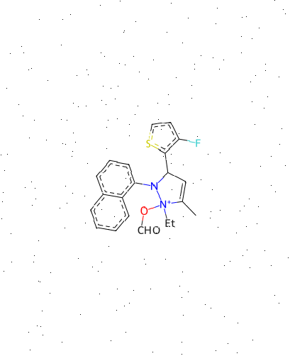 CC[N+]1(OC=O)C(C)=CC(c2sccc2F)N1c1cccc2ccccc12